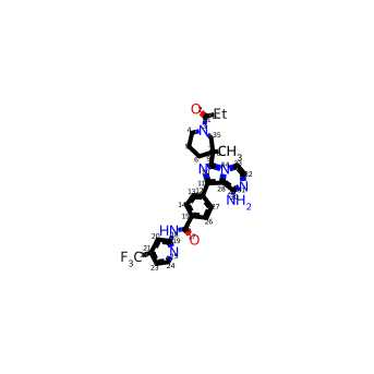 CCC(=O)N1CCCC(C)(c2nc(-c3ccc(C(=O)Nc4cc(C(F)(F)F)ccn4)cc3)c3c(N)nccn23)C1